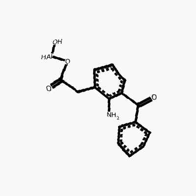 Nc1c(CC(=O)[O][AlH][OH])cccc1C(=O)c1ccccc1